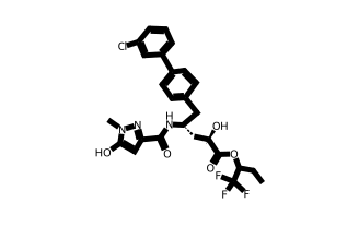 CCC(OC(=O)[C@H](O)C[C@@H](Cc1ccc(-c2cccc(Cl)c2)cc1)NC(=O)c1cc(O)n(C)n1)C(F)(F)F